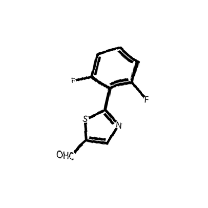 O=Cc1cnc(-c2c(F)cccc2F)s1